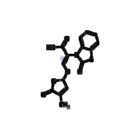 CC1=CC(O/C=C(/C(=O)O)n2c(=O)sc3ccccc32)OC1=O